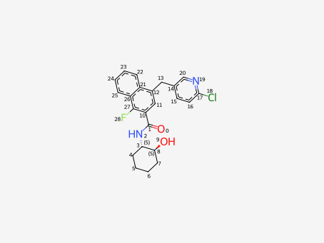 O=C(N[C@H]1CCCC[C@@H]1O)c1cc(Cc2ccc(Cl)nc2)c2ccccc2c1F